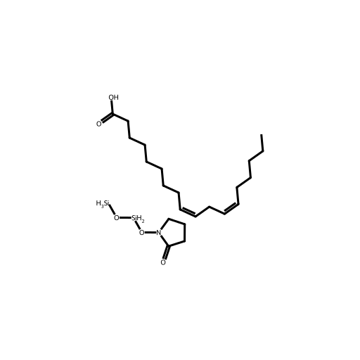 CCCCC/C=C\C/C=C\CCCCCCCC(=O)O.O=C1CCCN1O[SiH2]O[SiH3]